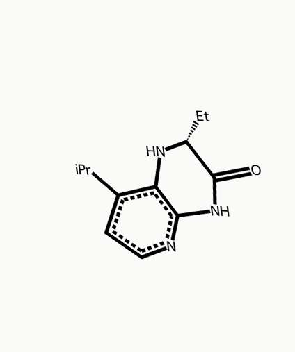 CC[C@H]1Nc2c(C(C)C)ccnc2NC1=O